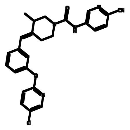 CC1CN(C(=O)Nc2ccc(C#N)nc2)CCC1=Cc1cccc(Oc2ccc(Cl)cn2)c1